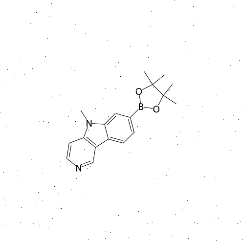 Cn1c2ccncc2c2ccc(B3OC(C)(C)C(C)(C)O3)cc21